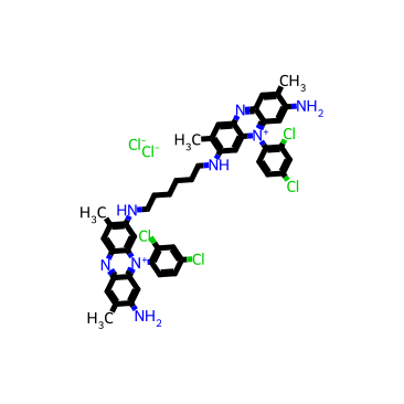 Cc1cc2nc3cc(C)c(NCCCCCCNc4cc5c(cc4C)nc4cc(C)c(N)cc4[n+]5-c4ccc(Cl)cc4Cl)cc3[n+](-c3ccc(Cl)cc3Cl)c2cc1N.[Cl-].[Cl-]